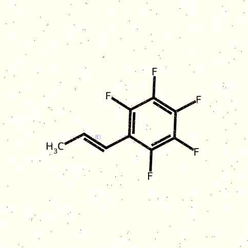 C/C=C/c1c(F)c(F)c(F)c(F)c1F